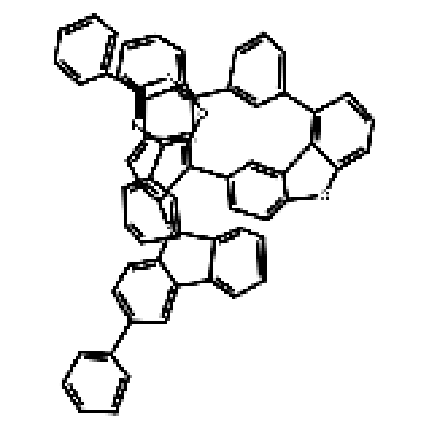 c1ccc(-c2ccc3c(c2)c2ccccc2n3-c2ccc3c(oc4ccccc43)c2-c2ccc3oc4cccc(-c5cccc(-c6nc(-c7ccccc7)nc(-c7ccccc7)n6)c5)c4c3c2)cc1